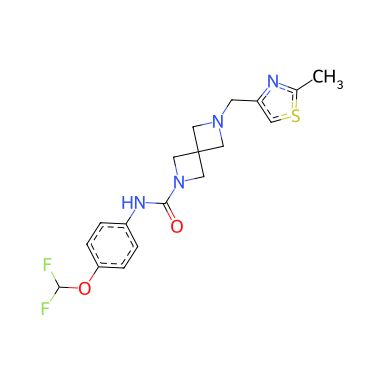 Cc1nc(CN2CC3(C2)CN(C(=O)Nc2ccc(OC(F)F)cc2)C3)cs1